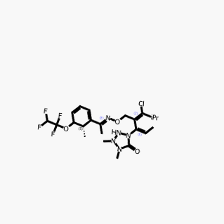 C/C=C(\C(CO/N=C(\C)C1=CC=CC(OC(F)(F)C(F)F)[C@H]1C)=C(\Cl)C(C)C)N1NN(C)N(C)C1=O